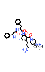 CC(C)CC(NC(=O)C(Cc1ccccc1)NC(=O)CC(N)c1ccccc1)C(=O)C(CCCCN)C(=O)N1CCC(N)(C(=O)O)CC1